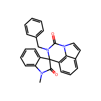 CN1C(=O)C2(c3ccccc31)c1cccc3ccn(c13)C(=O)N2Cc1ccccc1